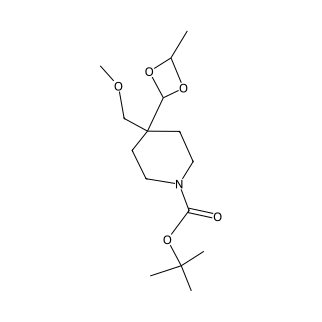 COCC1(C2OC(C)O2)CCN(C(=O)OC(C)(C)C)CC1